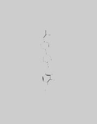 CCOc1ccc(OCC2CCC(C3CCC(/C=C(/C)F)CC3)CC2)c(F)c1F